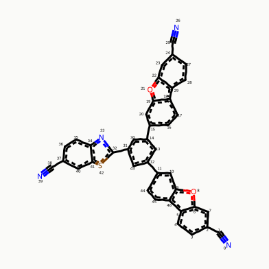 N#Cc1ccc2c(c1)oc1cc(-c3cc(-c4ccc5c(c4)oc4cc(C#N)ccc45)cc(-c4nc5ccc(C#N)cc5s4)c3)ccc12